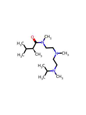 CC(C)[C@H](C)C(=O)N(C)CCN(C)CCN(C)C(C)C